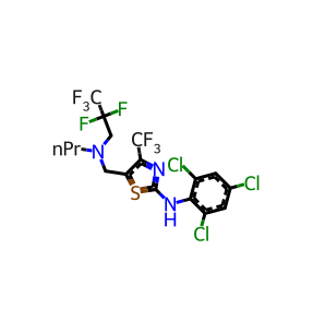 CCCN(Cc1sc(Nc2c(Cl)cc(Cl)cc2Cl)nc1C(F)(F)F)CC(F)(F)C(F)(F)F